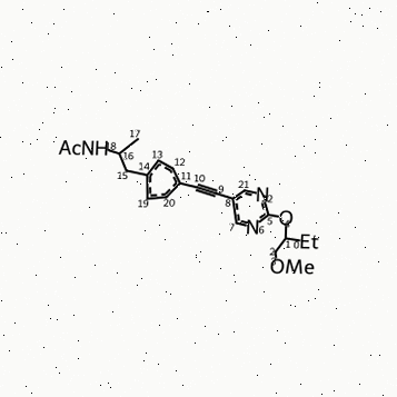 CCC(COC)Oc1ncc(C#Cc2ccc(CC(C)NC(C)=O)cc2)cn1